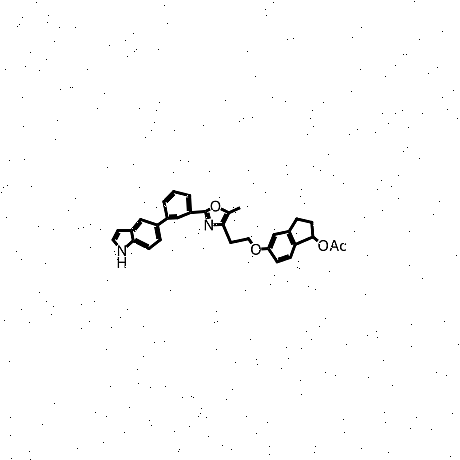 CC(=O)OC1CCc2cc(OCCc3nc(-c4cccc(-c5ccc6[nH]ccc6c5)c4)oc3C)ccc21